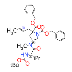 C/C=C/CC1(C(=O)OCc2ccccc2)C[C@@H](N(C)C(=O)[C@@H](NC(=O)OC(C)(C)C)C(C)C)CN1C(=O)OCc1ccccc1